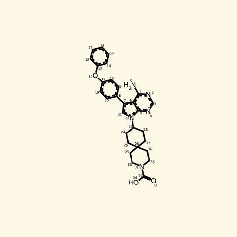 Nc1ncnc2c1c(-c1ccc(Oc3ccccc3)cc1)cn2C1CCC2(CC1)CCN(C(=O)O)CC2